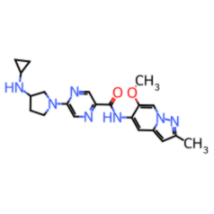 COc1cn2nc(C)cc2cc1NC(=O)c1cnc(N2CCC(NC3CC3)C2)cn1